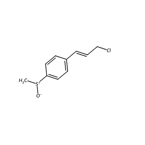 C[S+]([O-])c1ccc(C=CCCl)cc1